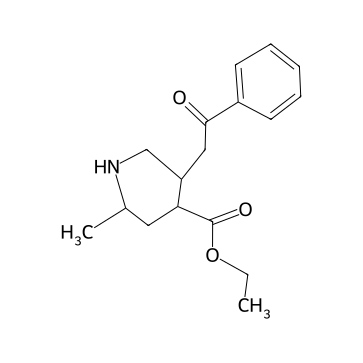 CCOC(=O)C1CC(C)NCC1CC(=O)c1ccccc1